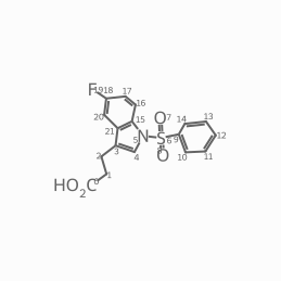 O=C(O)CCc1cn(S(=O)(=O)c2ccccc2)c2ccc(F)cc12